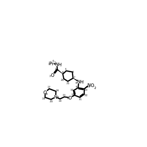 CC(C)NC(=O)[C@H]1CC[C@@H](Nc2cc(OCCN3CCOCC3)ccc2[N+](=O)[O-])CC1